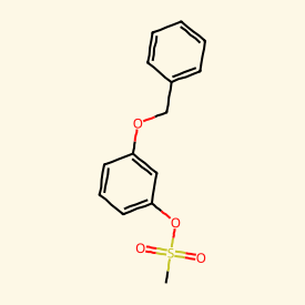 CS(=O)(=O)Oc1cccc(OCc2ccccc2)c1